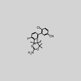 CC1(C)OC(N)=N[C@](C)(c2cc(-c3cc(C#N)ccc3Cl)ccc2F)C1(F)F